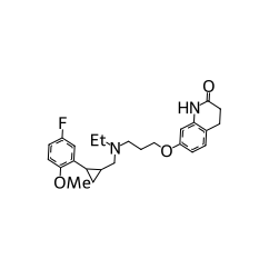 CCN(CCCOc1ccc2c(c1)NC(=O)CC2)CC1CC1c1cc(F)ccc1OC